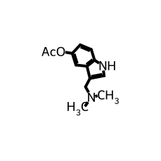 CC(=O)Oc1ccc2[nH]cc(CN(C)C)c2c1